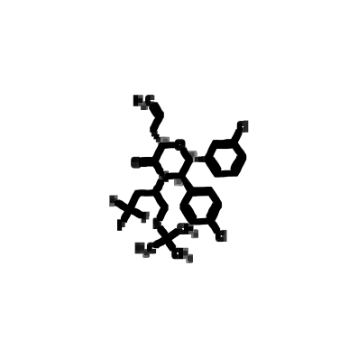 C=CC[C@@H]1O[C@H](c2cccc(Cl)c2)[C@@H](c2ccc(Cl)cc2)N(C(CSC(C)(C)C)CC(F)(F)F)C1=O